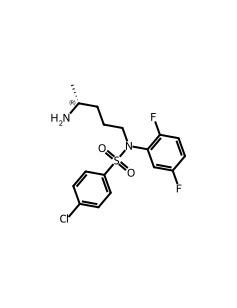 C[C@@H](N)CCCN(c1cc(F)ccc1F)S(=O)(=O)c1ccc(Cl)cc1